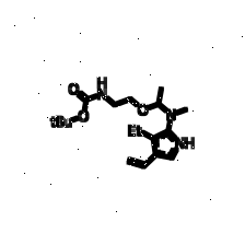 C=Cc1c[nH]c(N(C)C(C)OCCNC(=O)OC(C)(C)C)c1CC